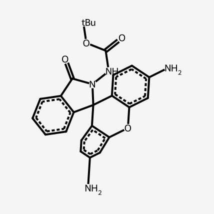 CC(C)(C)OC(=O)NN1C(=O)c2ccccc2C12c1ccc(N)cc1Oc1cc(N)ccc12